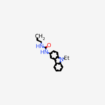 C=CCNC(=O)Nc1ccc2c(c1)c1ccccc1n2CC